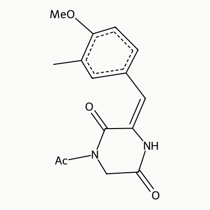 COc1ccc(/C=C2/NC(=O)CN(C(C)=O)C2=O)cc1C